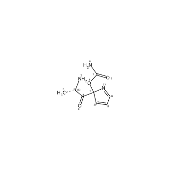 C[C@H](N)C(=O)C1(OC(N)=O)C=CC=N1